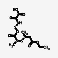 CCOC(=O)CN(C)SN(C)C(=O)OSNC(=O)C(=O)O